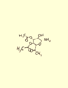 CC(=O)O[C@@H]1[C@@H](O)[C@H](N)OC(C(C)=O)[C@H]1OC(C)=O